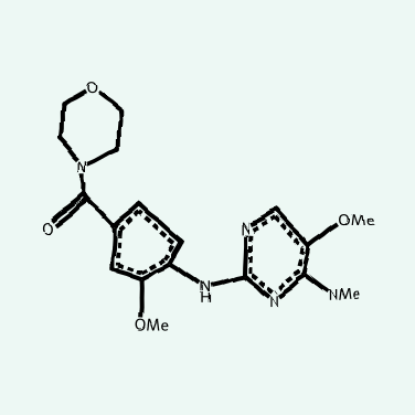 CNc1nc(Nc2ccc(C(=O)N3CCOCC3)cc2OC)ncc1OC